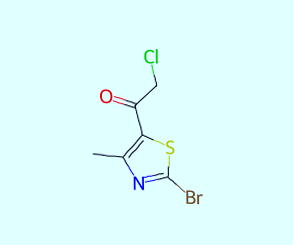 Cc1nc(Br)sc1C(=O)CCl